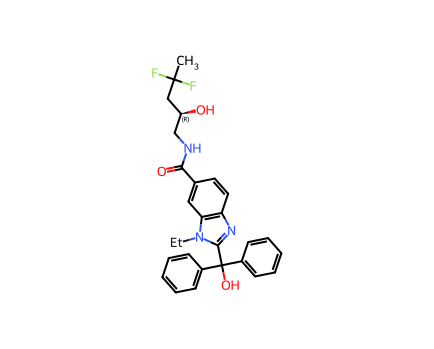 CCn1c(C(O)(c2ccccc2)c2ccccc2)nc2ccc(C(=O)NC[C@H](O)CC(C)(F)F)cc21